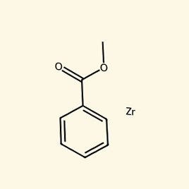 COC(=O)c1ccccc1.[Zr]